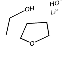 C1CCOC1.CCO.[Li+].[OH-]